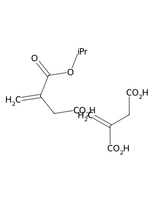 C=C(CC(=O)O)C(=O)O.C=C(CC(=O)O)C(=O)OC(C)C